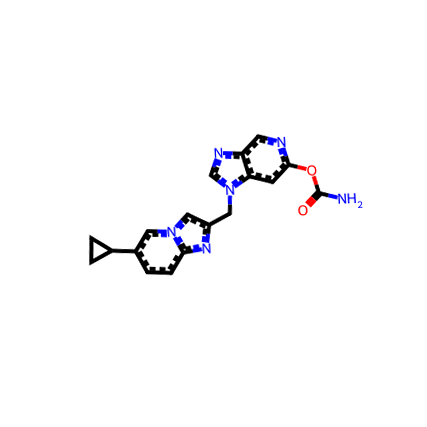 NC(=O)Oc1cc2c(cn1)ncn2Cc1cn2cc(C3CC3)ccc2n1